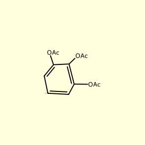 CC(=O)Oc1c[c]cc(OC(C)=O)c1OC(C)=O